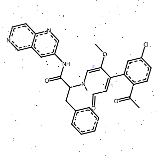 COC(=C/N(C)C(Cc1ccccc1)C(=O)Nc1cnc2ccncc2c1)/C(=C\C=O)c1cc(Cl)ccc1C(C)=O